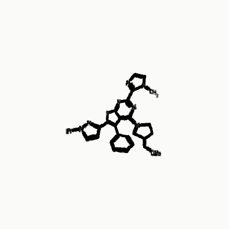 COCC1CCN(c2nc(-c3nccn3C)nc3sc(-c4ccn(C(C)C)n4)c(-c4ccccc4)c23)C1